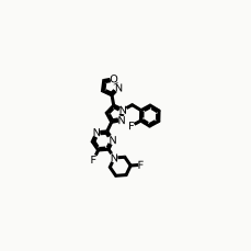 Fc1ccccc1Cn1nc(-c2ncc(F)c(N3CCCC(F)C3)n2)cc1-c1ccon1